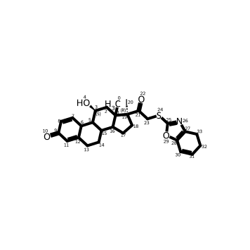 CC12C[C@H](O)C3C4C=CC(=O)C=C4CCC3C1CC[C@]2(I)C(=O)CSc1nc2c(o1)C=CCC2